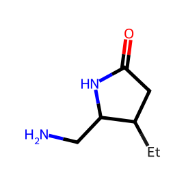 CCC1CC(=O)NC1CN